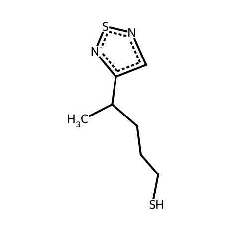 CC(CCCS)c1cnsn1